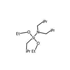 CCO[Si](CC(C)C)(OCC)N(CC(C)C)CC(C)C